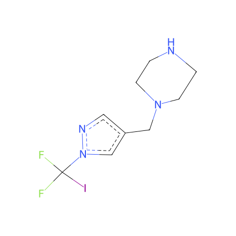 FC(F)(I)n1cc(CN2CCNCC2)cn1